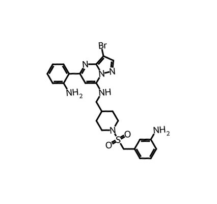 Nc1cccc(CS(=O)(=O)N2CCC(CNc3cc(-c4ccccc4N)nc4c(Br)cnn34)CC2)c1